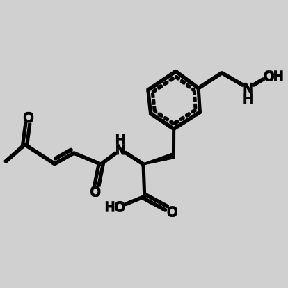 CC(=O)/C=C/C(=O)N[C@@H](Cc1cccc(CNO)c1)C(=O)O